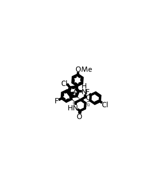 COc1ccc(Oc2ccc(F)cc2[C@H]2NC(=O)C[C@@H](C3C=C(Cl)C=CC3F)[C@]23C(=O)Nc2cc(Cl)ccc23)cc1